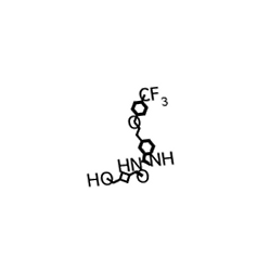 O=C(Nc1c[nH]c2ccc(CCOc3ccc(C(F)(F)F)cc3)cc12)C1CC(CO)C1